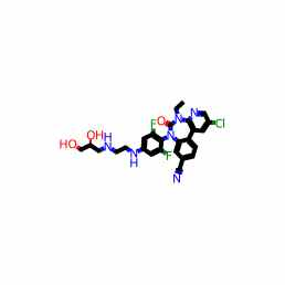 CCN1C(=O)N(c2c(F)cc(NCCNC[C@H](O)CO)cc2F)c2cc(C#N)ccc2-c2cc(Cl)cnc21